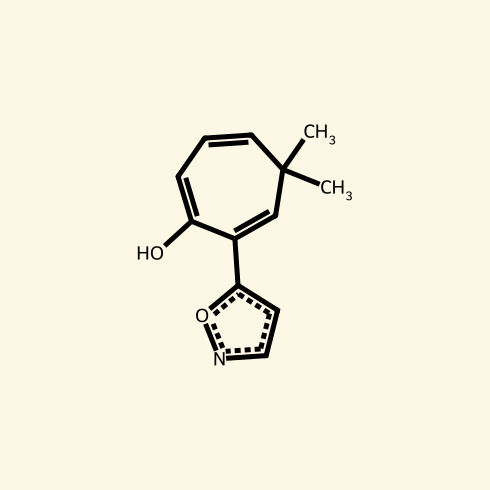 CC1(C)C=CC=C(O)C(c2ccno2)=C1